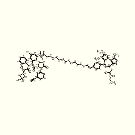 CCNC(=O)C[C@@H]1N=C(c2ccc(OCCOCCOCCOCCOCCNS(=O)(=O)c3cc(F)cc(N(C(=O)[C@@H]4CCC(=O)N4c4cc(C#N)ccn4)C(C(=O)NC4CC(F)(F)C4)c4ccccc4Cl)c3)cc2)c2c(sc(C)c2C)-n2c(C)nnc21